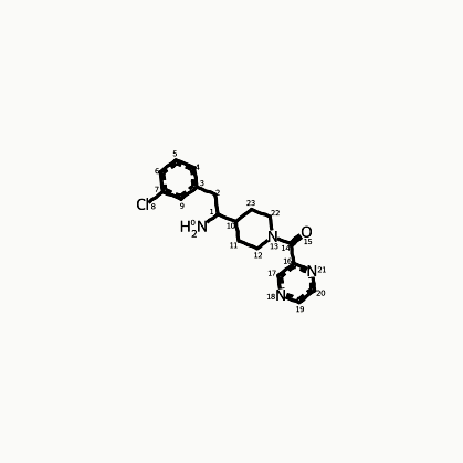 NC(Cc1cccc(Cl)c1)C1CCN(C(=O)c2cnccn2)CC1